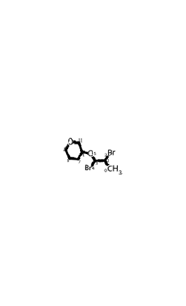 CC(Br)C(Br)OC1CCCOC1